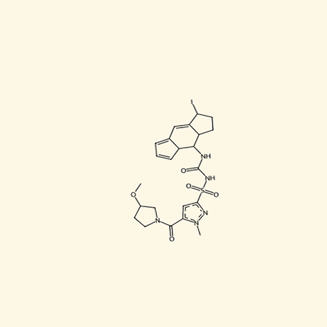 COC1CCN(C(=O)c2cc(S(=O)(=O)NC(=O)NC3C4C=CC=C4C=C4C(I)CCC43)nn2C)C1